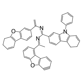 C=C(/N=C(\N=C(/C)c1cccc2oc3c#cccc3c12)c1ccc2c3c(n(-c4ccccc4)c2c1)C=CCC3)c1ccc2c3c(oc2c1)CCC=C3